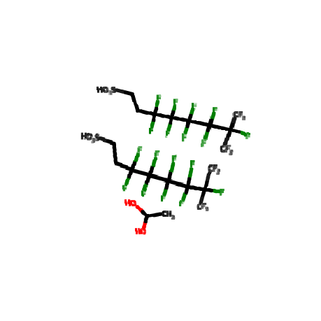 CC(O)O.O=S(=O)(O)CCC(F)(F)C(F)(F)C(F)(F)C(F)(F)C(F)(C(F)(F)F)C(F)(F)F.O=S(=O)(O)CCC(F)(F)C(F)(F)C(F)(F)C(F)(F)C(F)(C(F)(F)F)C(F)(F)F